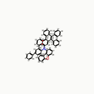 c1ccc(-c2ccc(N(c3ccc4c(c3)c(-c3ccccc3)c(-c3ccccc3)c3ccccc34)c3cccc4oc5ccccc5c34)c(-c3ccccc3)c2)cc1